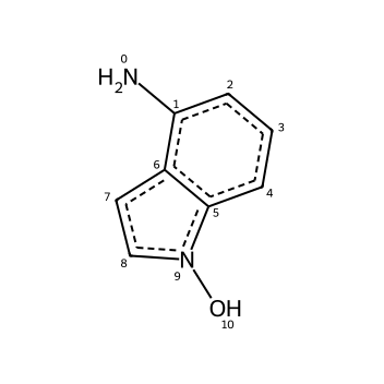 Nc1cccc2c1ccn2O